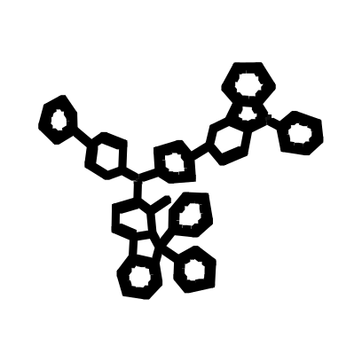 CC1C(N(c2ccc(C3C=Cc4c(c5ccccc5n4-c4ccccc4)C3)cc2)C2C=CC(c3ccccc3)=CC2)=CC=C2c3ccccc3C(c3ccccc3)(c3ccccc3)C21